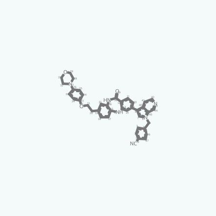 N#Cc1ccc(Cn2cc(-c3ccc4c(c3)Nc3ccc(CCOc5ccc(N6CCOCC6)cc5)cc3NC4=O)c3ccncc32)cc1